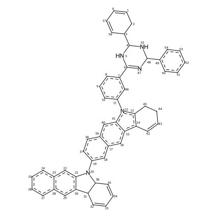 C1=CCC(C2NC(c3cccc(-n4c5c(c6cc7cc(N8c9cc%10ccccc%10cc9C9C=CC=CC98)ccc7cc64)C=CCC5)c3)=NC(c3ccccc3)N2)C=C1